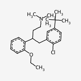 CCOc1ccccc1C(CCN(C)C)Cc1cc(C(C)(C)C)ccc1Cl